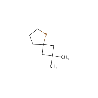 CC1(C)CC2(CCCS2)C1